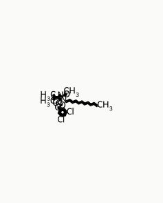 CCCCCCCCCCCCn1c(OC)nc(C(C)C)c1S(=O)(=O)Oc1cc(Cl)cc(Cl)c1